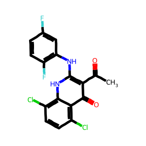 CC(=O)c1c(Nc2cc(F)ccc2F)[nH]c2c(Cl)ccc(Cl)c2c1=O